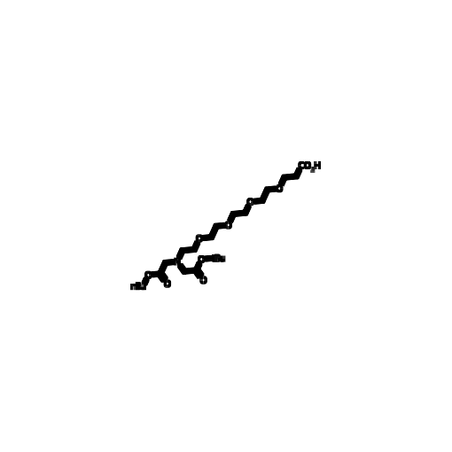 CCCCOC(=O)CN(CCOCCOCCOCCOCCC(=O)O)CC(=O)OC(C)(C)C